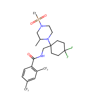 CCS(=O)(=O)N1CCN(C2(CNC(=O)c3ccc(C(F)(F)F)cc3C(F)(F)F)CCC(F)(F)CC2)C(C)C1